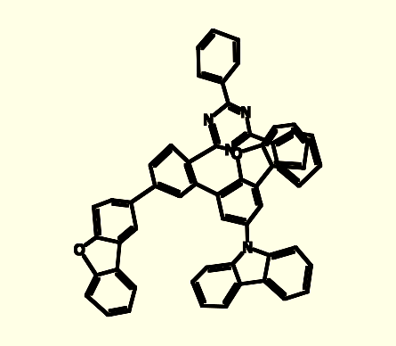 c1ccc(-c2nc(-c3ccccc3)nc(-c3ccc(-c4ccc5oc6ccccc6c5c4)cc3-c3cc(-n4c5ccccc5c5ccccc54)cc4c3oc3ccccc34)n2)cc1